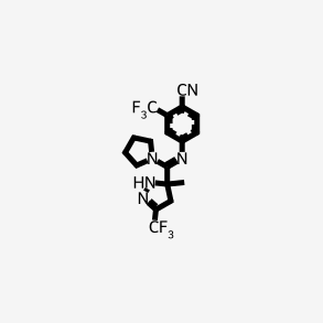 CC1(C(=Nc2ccc(C#N)c(C(F)(F)F)c2)N2CCCC2)CC(C(F)(F)F)=NN1